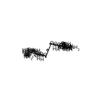 CC(C)(COP(=O)(O)OP(=O)(O)OCC1OC(n2cnc3c(N)ncnc32)C(O)C1OP(=O)(O)O)C(O)C(=O)NCCC(=O)NCCC(=O)C1(CCCCCc2cccc(CCCCCC3(C(=O)CCNC(=O)CCNC(=O)C(O)C(C)(C)COP(=O)(O)OP(=O)(O)OCC4OC(n5cnc6c(N)ncnc65)C(O)C4OP(=O)(O)O)CC3)c2)CC1